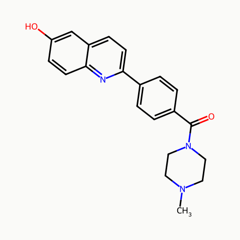 CN1CCN(C(=O)c2ccc(-c3ccc4cc(O)ccc4n3)cc2)CC1